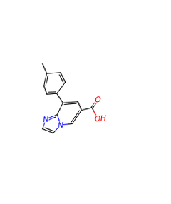 Cc1ccc(-c2cc(C(=O)O)cn3ccnc23)cc1